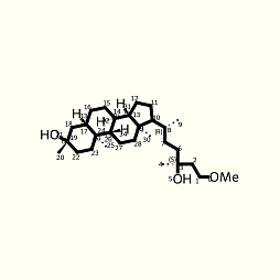 COCC[C@@](C)(O)CC[C@@H](C)C1CC[C@H]2[C@@H]3CC[C@H]4C[C@@](C)(O)CC[C@]4(C)[C@H]3CC[C@]12C